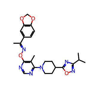 C/C(=N\Oc1ncnc(N2CCC(c3nc(C(C)C)no3)CC2)c1C)c1ccc2c(c1)OCO2